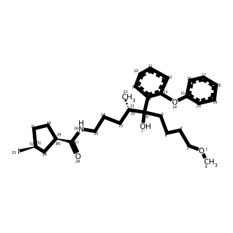 COCCCCC(O)(c1ccccc1Oc1ccccc1)[C@@H](C)CCCNC(=O)[C@@H]1CC[C@H](I)C1